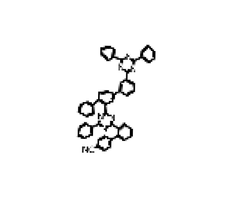 N#Cc1ccc(-c2ccccc2-c2nc(-c3ccccc3)nc(-c3cc(-c4cccc(-c5nc(-c6ccccc6)nc(-c6ccccc6)n5)c4)ccc3-c3ccccc3)n2)cc1